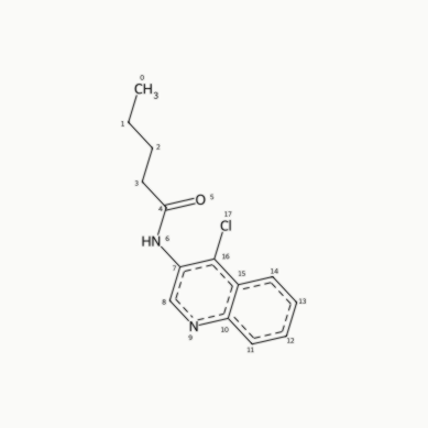 CCCCC(=O)Nc1cnc2ccccc2c1Cl